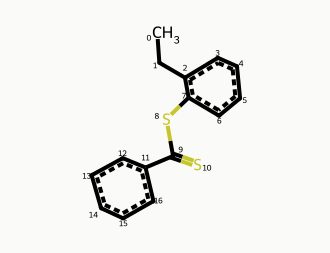 CCc1ccccc1SC(=S)c1ccccc1